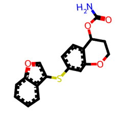 NC(=O)OC1CCOc2cc(Sc3coc4ccccc34)ccc21